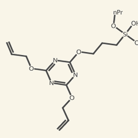 C=CCOc1nc(OCC=C)nc(OCCC[Si](O)(O)OCCC)n1